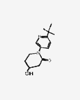 CC(C)(C)c1ccc(N2CCC(O)CC2=O)cn1